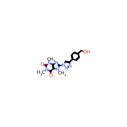 Cn1c(=O)c2c(nc(-n3cc(-c4ccc(CO)cc4)nn3)n2C)n(C)c1=O